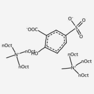 CCCCCCCC[N+](C)(CCCCCCCC)CCCCCCCC.CCCCCCCC[N+](C)(CCCCCCCC)CCCCCCCC.O=C([O-])c1cc(S(=O)(=O)[O-])ccc1O